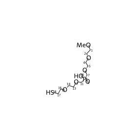 COCCOCCOCP(=O)(O)COCCOCCS